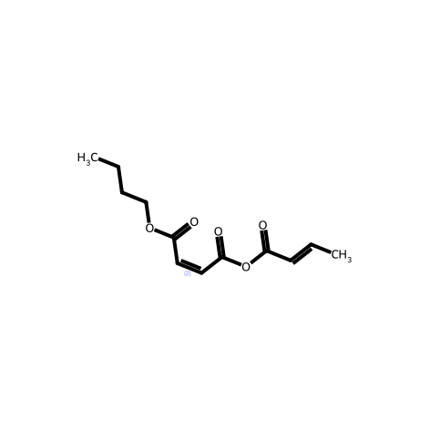 CC=CC(=O)OC(=O)/C=C\C(=O)OCCCC